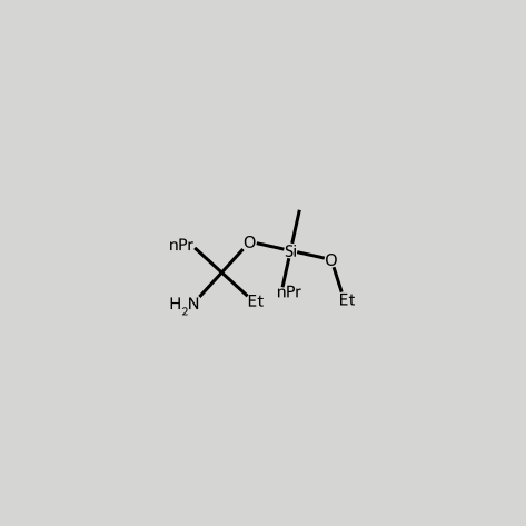 CCCC(N)(CC)O[Si](C)(CCC)OCC